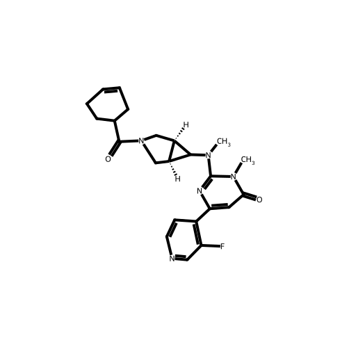 CN(c1nc(-c2ccncc2F)cc(=O)n1C)C1[C@H]2CN(C(=O)C3CC=CCC3)C[C@@H]12